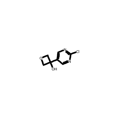 OC1(c2cnc(Cl)nc2)COC1